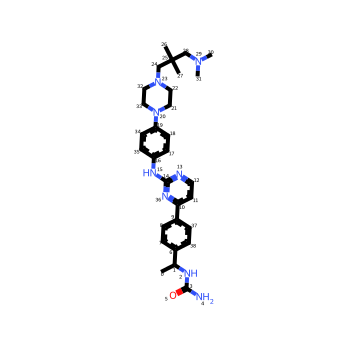 CC(NC(N)=O)c1ccc(-c2ccnc(Nc3ccc(N4CCN(CC(C)(C)CN(C)C)CC4)cc3)n2)cc1